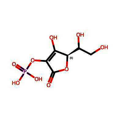 O=C1O[C@H](C(O)CO)C(O)=C1OP(=O)(O)O